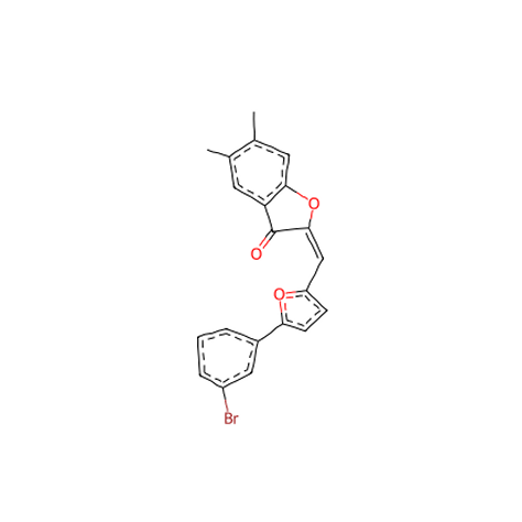 Cc1cc2c(cc1C)C(=O)C(=Cc1ccc(-c3cccc(Br)c3)o1)O2